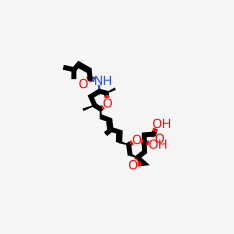 CC(/C=C/[C@@H]1C[C@]2(CO2)CC(O)(CC(=O)O)O1)=C\C[C@@H]1O[C@H](C)[C@H](NC(=O)/C=C\C(C)C)C[C@@H]1C